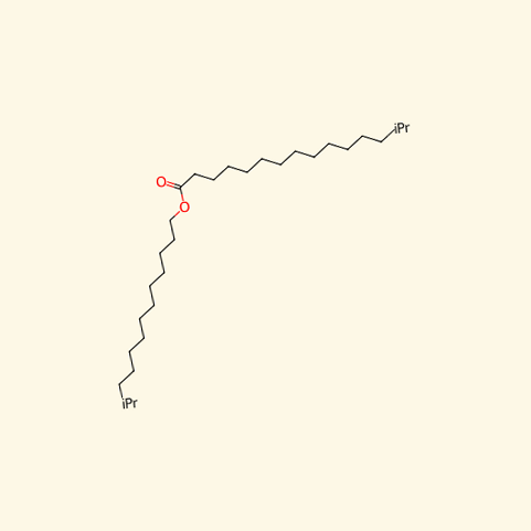 CC(C)CCCCCCCCCCCCC(=O)OCCCCCCCCCCCC(C)C